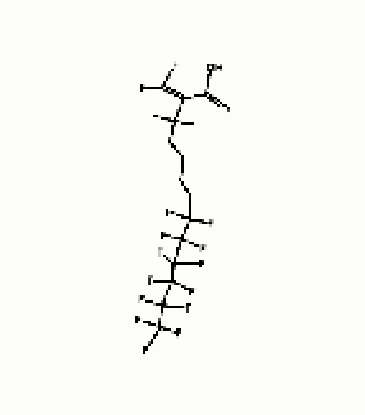 O=C(O)C(=C(F)F)C(F)(F)CCCCC(F)(F)C(F)(F)C(F)(F)C(F)(F)C(F)(F)C(F)(F)F